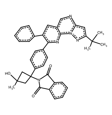 CC1(O)CC(c2ccc(-c3nc4c(cnc5cc(C(C)(C)C)nn54)cc3-c3ccccc3)cc2)(N2C(=O)c3ccccc3C2=O)C1